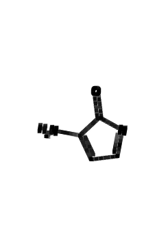 NC1=CC=NC1=O